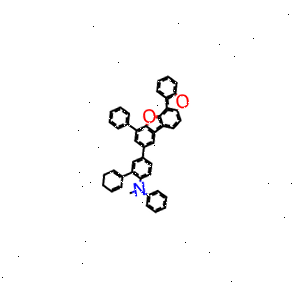 CN(c1ccccc1)c1ccc(-c2cc(-c3ccccc3)c3oc4c(ccc5oc6ccccc6c54)c3c2)cc1C1=CCCC=C1